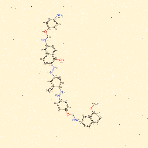 CCCOc1cccc2ccc(NCOc3ccc(N=Nc4ccc(N=Nc5ccc6cc(NCOc7ccc(N)cc7)ccc6c5O)cc4C)cc3)cc12